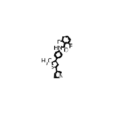 CC1SC(c2cccnc2)=CC1c1ccc(NC(=O)c2c(F)cccc2F)cc1